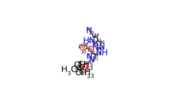 CC(C)(C)[Si](C)(C)OCCn1cc(Nc2ncc3cc(C#N)[nH]c3n2)c(OC2COC2)n1